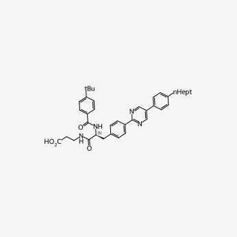 CCCCCCCc1ccc(-c2cnc(-c3ccc(C[C@H](NC(=O)c4ccc(C(C)(C)C)cc4)C(=O)NCCC(=O)O)cc3)nc2)cc1